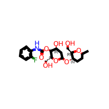 CC1CC[C@H](OC2C[C@@H](O)[C@H](OC(=O)Nc3ccccc3F)[C@@H](CO)O2)[C@@H](CO)O1